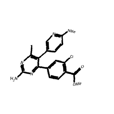 CNc1ccc(-c2c(C)nc(N)nc2-c2ccc(C(=O)OC)c(Cl)c2)cn1